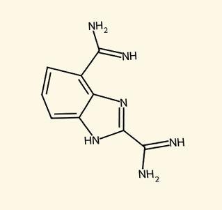 N=C(N)c1nc2c(C(=N)N)cccc2[nH]1